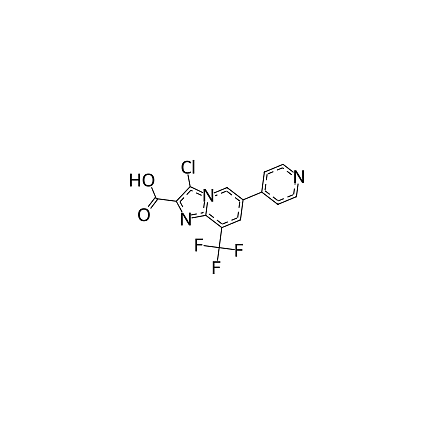 O=C(O)c1nc2c(C(F)(F)F)cc(-c3ccncc3)cn2c1Cl